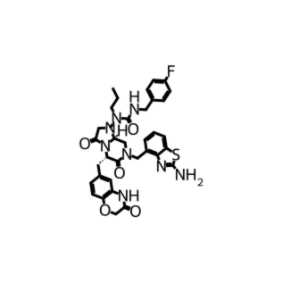 CCCN(C(=O)NCc1ccc(F)cc1)N1CC(=O)N2[C@@H](Cc3ccc4c(c3)NC(=O)CO4)C(=O)N(Cc3cccc4sc(N)nc34)C[C@@H]21